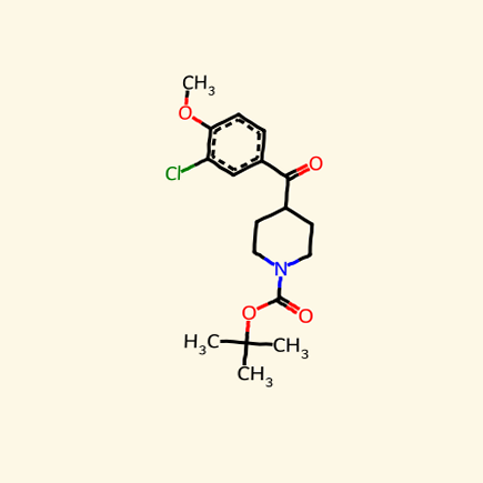 COc1ccc(C(=O)C2CCN(C(=O)OC(C)(C)C)CC2)cc1Cl